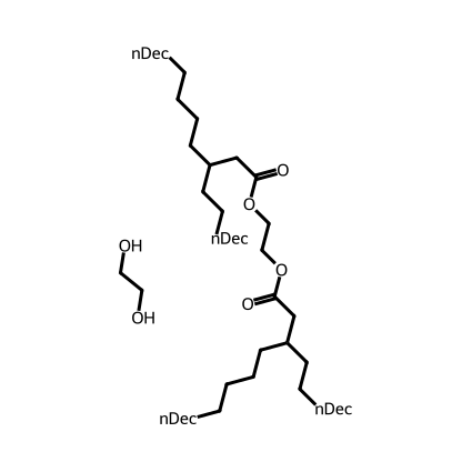 CCCCCCCCCCCCCCC(CCCCCCCCCCCC)CC(=O)OCCOC(=O)CC(CCCCCCCCCCCC)CCCCCCCCCCCCCC.OCCO